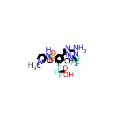 Cc1ccc(S(=O)(=O)NC2(C)CCCN(C)C2)cc1-c1cnc2c(N)nc(C(F)(F)F)nn12.O=C(O)C(F)(F)F